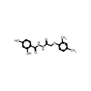 Cc1ccc(OCC(=O)NNC(=O)c2ccc(O)cc2O)c(C)c1